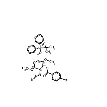 CO[C@H]1O[C@H](CO[Si](c2ccccc2)(c2ccccc2)C(C)(C)C)[C@@H](OC)[C@H](OC(=O)c2ccc(Br)cc2)[C@@H]1N=[N+]=[N-]